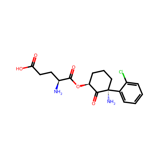 N[C@@H](CCC(=O)O)C(=O)O[C@H]1CCC[C@@](N)(c2ccccc2Cl)C1=O